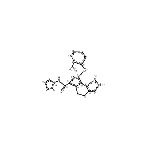 Cc1ncccc1Oc1sc(C(=O)Nn2cccc2)c2c1-c1sncc1CC2